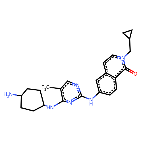 NC1CCC(Nc2nc(Nc3ccc4c(=O)n(CC5CC5)ccc4c3)ncc2C(F)(F)F)CC1